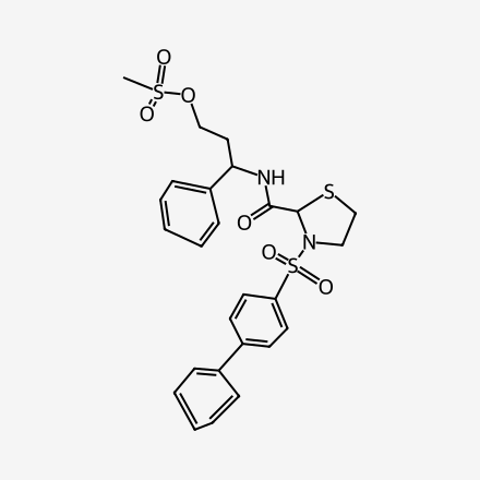 CS(=O)(=O)OCCC(NC(=O)C1SCCN1S(=O)(=O)c1ccc(-c2ccccc2)cc1)c1ccccc1